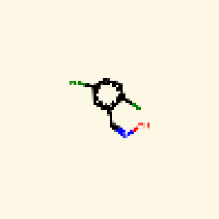 O/N=C\c1cc(Br)ccc1F